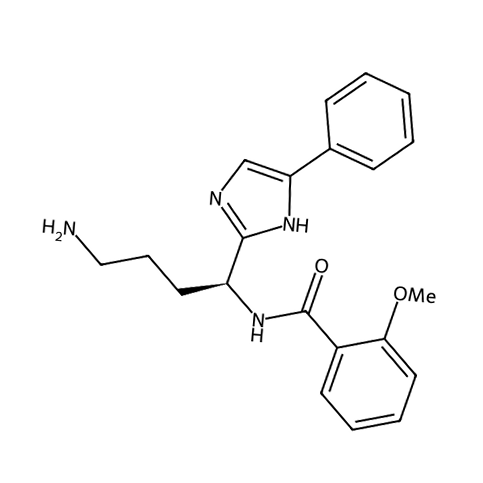 COc1ccccc1C(=O)N[C@@H](CCCN)c1ncc(-c2ccccc2)[nH]1